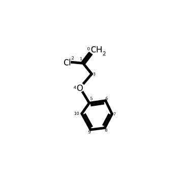 C=C(Cl)COc1ccccc1